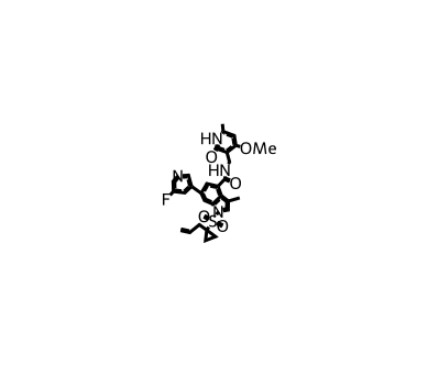 C=CCC1(S(=O)(=O)n2cc(C)c3c(C(=O)NCc4c(OC)cc(C)[nH]c4=O)cc(-c4cncc(F)c4)cc32)CC1